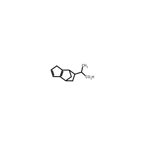 CC(C(=O)O)C1CC2CC1C1=C2C=CC1